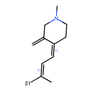 C=C1CN(C)CC/C1=C/C=C(\C)CC